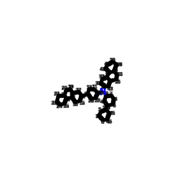 c1ccc(-c2cccc(N(c3ccc(-c4ccc5c(ccc6ccccc65)c4)cc3)c3ccc4c(ccc5ccccc54)c3)c2)cc1